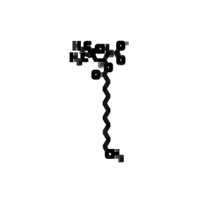 CCCCCCCCCCCC(=O)O[C@H](CC(=O)[O-])C[N+](C)(C)C